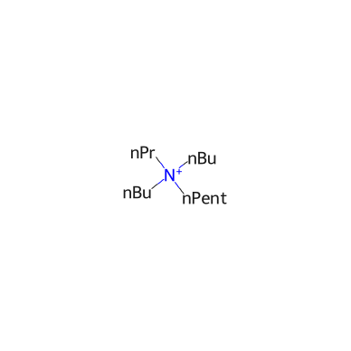 CCCCC[N+](CCC)(CCCC)CCCC